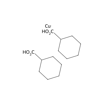 O=C(O)C1CCCCC1.O=C(O)C1CCCCC1.[Cu]